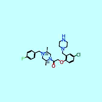 C[C@H]1CN(C(=O)COc2ccc(Cl)cc2CN2CCNCC2)[C@@H](C)CN1Cc1ccc(F)cc1